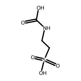 O=C(O)NCCS(=O)(=O)O